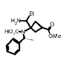 CCC(N)C1(N(C(=O)O)[C@H](C)c2ccccc2)CC(C(=O)OC)C1